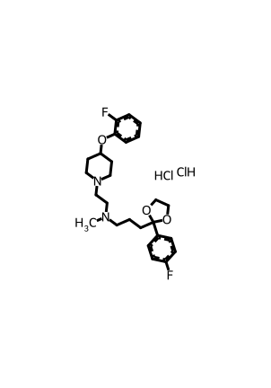 CN(CCCC1(c2ccc(F)cc2)OCCO1)CCN1CCC(Oc2ccccc2F)CC1.Cl.Cl